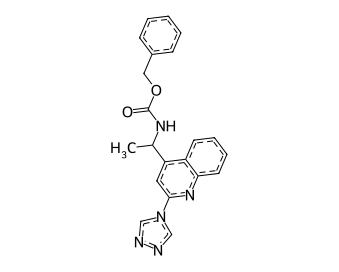 CC(NC(=O)OCc1ccccc1)c1cc(-n2cnnc2)nc2ccccc12